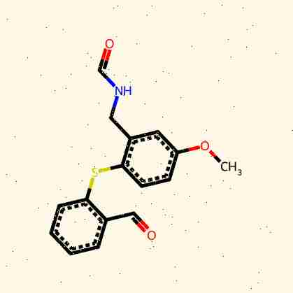 COc1ccc(Sc2ccccc2C=O)c(CNC=O)c1